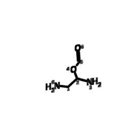 NCC(N)OC=O